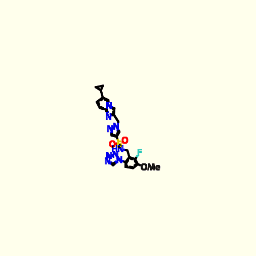 COc1ccc(-n2cnnn2)c(CNS(=O)(=O)c2cnn(Cc3cn4cc(C5CC5)ccc4n3)c2)c1F